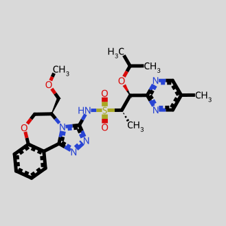 COC[C@@H]1COc2ccccc2-c2nnc(NS(=O)(=O)[C@@H](C)[C@@H](OC(C)C)c3ncc(C)cn3)n21